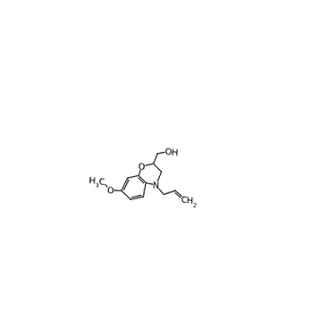 C=CCN1CC(CO)Oc2cc(OC)ccc21